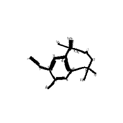 [CH]=Cc1cc2c(cc1C)C(C)(C)CCC2(C)C